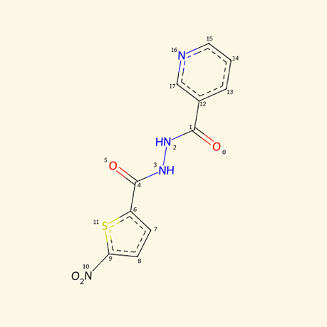 O=C(NNC(=O)c1ccc([N+](=O)[O-])s1)c1cccnc1